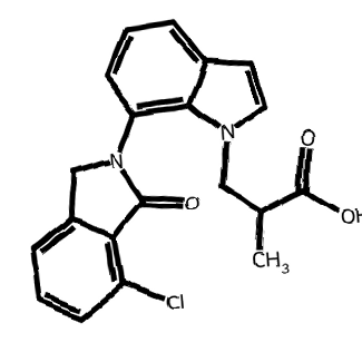 CC(Cn1ccc2cccc(N3Cc4cccc(Cl)c4C3=O)c21)C(=O)O